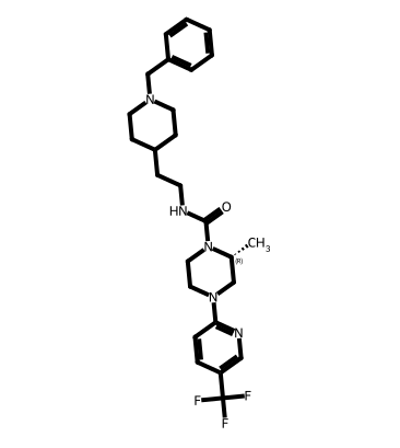 C[C@@H]1CN(c2ccc(C(F)(F)F)cn2)CCN1C(=O)NCCC1CCN(Cc2ccccc2)CC1